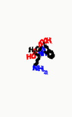 C[C@H](N[C@@H](CCCCN)C(=O)O)C(=O)N1Cc2ccccc2C[C@H]1C(=O)O